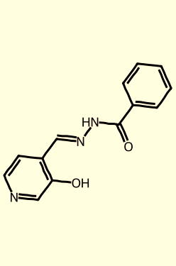 O=C(NN=Cc1ccncc1O)c1ccccc1